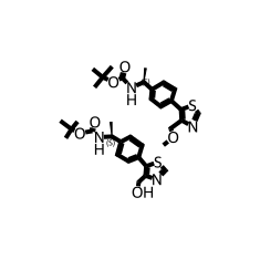 COCc1ncsc1-c1ccc([C@H](C)NC(=O)OC(C)(C)C)cc1.C[C@H](NC(=O)OC(C)(C)C)c1ccc(-c2scnc2CO)cc1